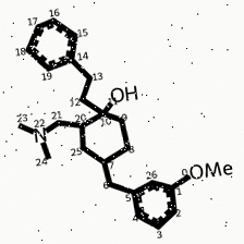 COc1cccc(CC2CCC(O)(CCc3ccccc3)C(CN(C)C)C2)c1